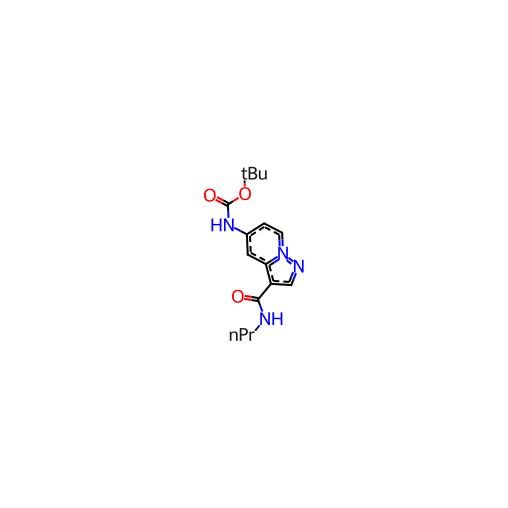 CCCNC(=O)c1cnn2ccc(NC(=O)OC(C)(C)C)cc12